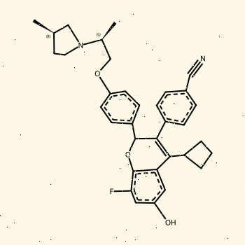 C[C@@H]1CCN([C@@H](C)COc2ccc(C3Oc4c(F)cc(O)cc4C(C4CCC4)=C3c3ccc(C#N)cc3)cc2)C1